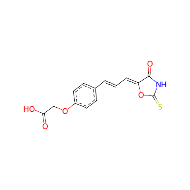 O=C(O)COc1ccc(/C=C/C=C2\OC(=S)NC2=O)cc1